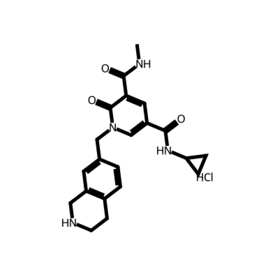 CNC(=O)c1cc(C(=O)NC2CC2)cn(Cc2ccc3c(c2)CNCC3)c1=O.Cl